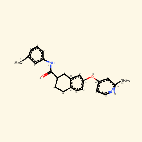 COc1cccc(NC(=O)C2CCc3ccc(Oc4ccnc(NC(C)=O)c4)cc3C2)c1